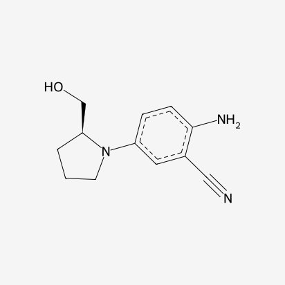 N#Cc1cc(N2CCC[C@H]2CO)ccc1N